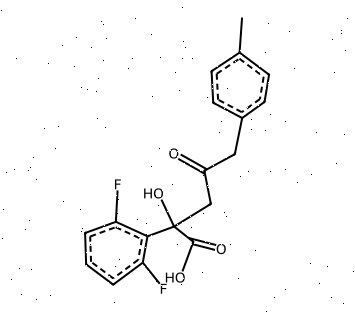 Cc1ccc(CC(=O)CC(O)(C(=O)O)c2c(F)cccc2F)cc1